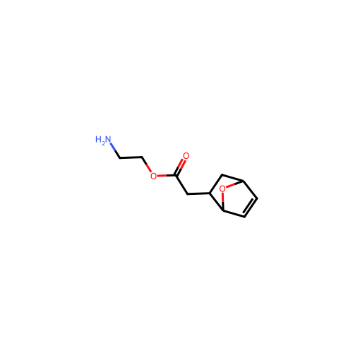 NCCOC(=O)CC1CC2C=CC1O2